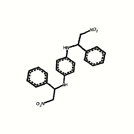 O=[N+]([O-])CC(Nc1ccc(NC(C[N+](=O)[O-])c2ccccc2)cc1)c1ccccc1